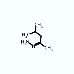 CC(CC(C)C)=NN